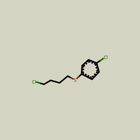 ClCCCCSc1ccc(Cl)cc1